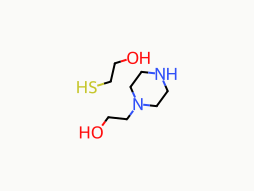 OCCN1CCNCC1.OCCS